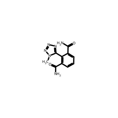 Cn1nnnc1-c1c(C(N)=O)cccc1C(N)=O